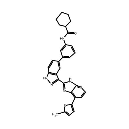 Cc1ccc(-c2ccnc3[nH]c(-c4n[nH]c5ccc(-c6cncc(NC(=O)C7CCCCC7)c6)nc45)nc23)s1